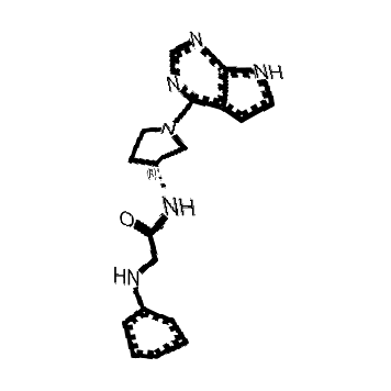 O=C(CNc1ccccc1)N[C@@H]1CCN(c2ncnc3[nH]ccc23)C1